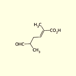 CC(=CCC(C)C=O)C(=O)O